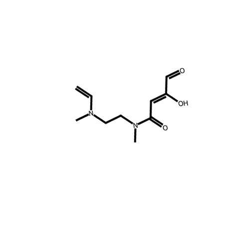 C=CN(C)CCN(C)C(=O)/C=C(\O)C=O